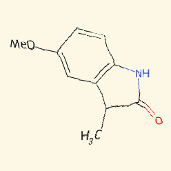 COc1ccc2c(c1)C(C)C(=O)N2